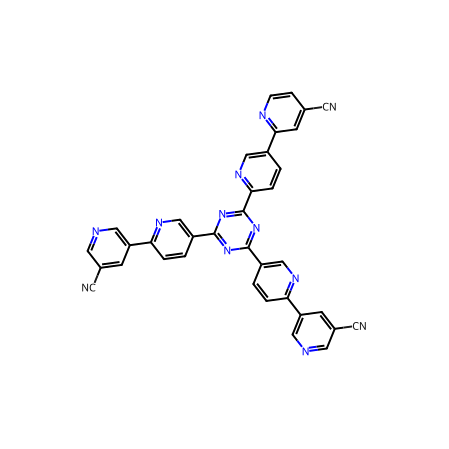 N#Cc1cncc(-c2ccc(-c3nc(-c4ccc(-c5cncc(C#N)c5)nc4)nc(-c4ccc(-c5cc(C#N)ccn5)cn4)n3)cn2)c1